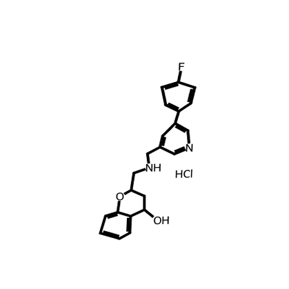 Cl.OC1CC(CNCc2cncc(-c3ccc(F)cc3)c2)Oc2ccccc21